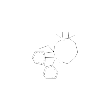 CCC1(C)O[Si](C)(C)C(C)(C)CCCCO[Si]1(c1ccccc1)c1ccccc1